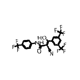 N#CC(C(=O)Nc1ccc(C(F)(F)F)cc1)=C(O)c1cc(C(F)(F)F)cc(C(F)(F)F)c1